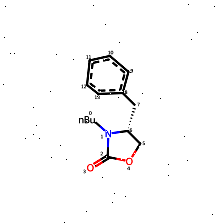 CCCCN1C(=O)OC[C@H]1Cc1ccccc1